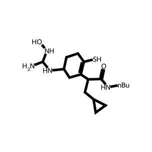 CCCCNC(=O)C(CC1CC1)C1=C(S)CCC(NC(N)NO)C1